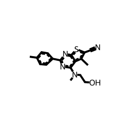 Cc1ccc(-c2nc(N(C)CCO)c3c(C)c(C#N)sc3n2)cc1